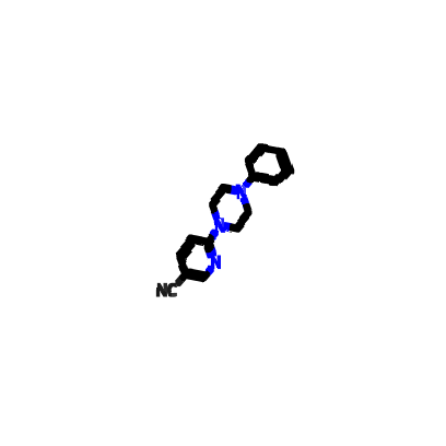 N#Cc1ccc(N2CCN(c3ccccc3)CC2)nc1